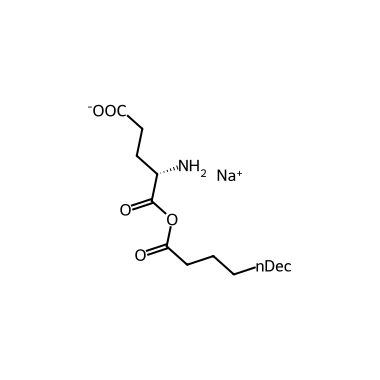 CCCCCCCCCCCCCC(=O)OC(=O)[C@@H](N)CCC(=O)[O-].[Na+]